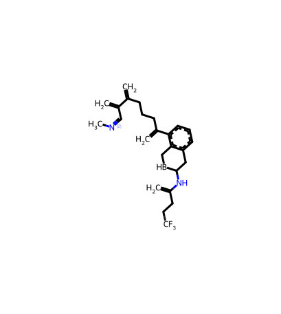 C=C(CCC(F)(F)F)NC1BCc2c(cccc2C(=C)CCCC(=C)C(=C)/C=N\C)C1